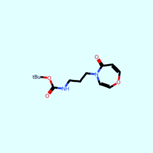 CC(C)(C)OC(=O)NCCCN1C=COC=CC1=O